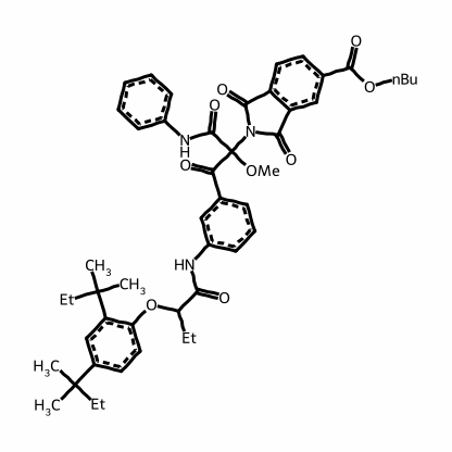 CCCCOC(=O)c1ccc2c(c1)C(=O)N(C(OC)(C(=O)Nc1ccccc1)C(=O)c1cccc(NC(=O)C(CC)Oc3ccc(C(C)(C)CC)cc3C(C)(C)CC)c1)C2=O